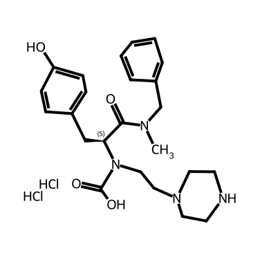 CN(Cc1ccccc1)C(=O)[C@H](Cc1ccc(O)cc1)N(CCN1CCNCC1)C(=O)O.Cl.Cl